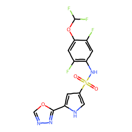 O=S(=O)(Nc1cc(F)c(OC(F)F)cc1F)c1c[nH]c(-c2nnco2)c1